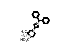 CC(C)(C)[C@]1(C)CN(C2CN(C(c3ccccc3)c3ccccc3)C2)CCN1C(=O)O